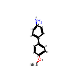 CCCCOc1ccc(-c2ccc(N)cc2)cc1